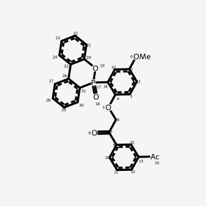 COc1ccc(OCC(=O)c2cccc(C(C)=O)c2)c(P2(=O)Oc3ccccc3-c3ccccc32)c1